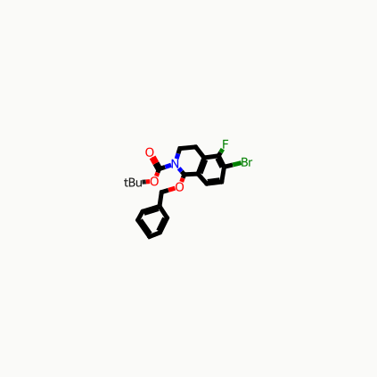 CC(C)(C)OC(=O)N1CCc2c(ccc(Br)c2F)C1OCc1ccccc1